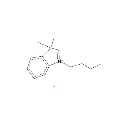 CCCC[N+]1=CC(C)(C)c2ccccc21.[I-]